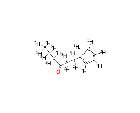 [2H]c1c([2H])c([2H])c(C([2H])([2H])C([2H])([2H])C(=O)C([2H])([2H])C([2H])([2H])C([2H])([2H])[2H])c([2H])c1[2H]